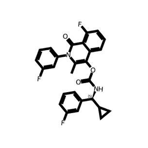 Cc1c(OC(=O)N[C@H](c2cccc(F)c2)C2CC2)c2cccc(F)c2c(=O)n1-c1cccc(F)c1